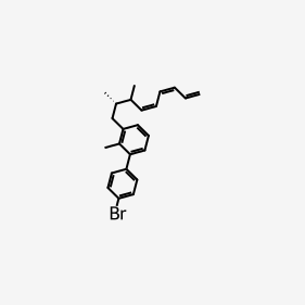 C=C/C=C\C=C/C(C)[C@@H](C)Cc1cccc(-c2ccc(Br)cc2)c1C